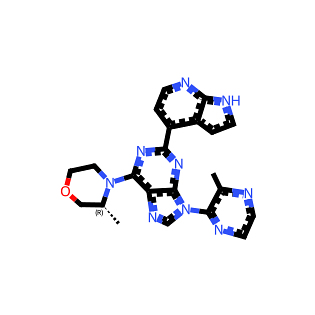 Cc1nccnc1-n1cnc2c(N3CCOC[C@H]3C)nc(-c3ccnc4[nH]ccc34)nc21